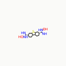 N=C(NO)c1ccc2c(c1)sc1cc(C(=N)NO)ccc12